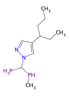 CCCC(CC)c1cnn(C(P)PC)c1